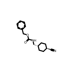 N#C[C@H]1CC[C@H](CNC(=O)OCc2ccccc2)CC1